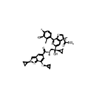 C[C@]1(C(N)=O)COc2c1cc(C(O)(CNC(=O)c1cc(OC3CC3)c3nn(C4CC4)cc3c1)C1CC1)nc2-c1ccc(F)c(Cl)c1F